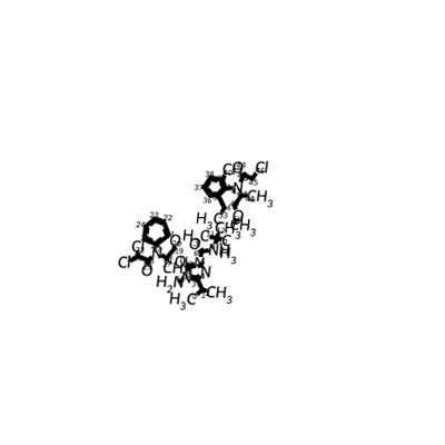 CC(C)c1nn(C(=O)NC(C)(C)C)c(=O)n1N.CC1COc2ccccc2N1C(=O)C(Cl)Cl.CCc1cccc(C)c1N(C(=O)CCl)C(C)COC